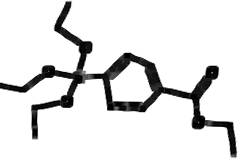 CCOC(=O)c1ccc([Si](OCC)(OCC)OCC)cc1